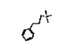 C[Si](C)(C)CCCc1ccccc1